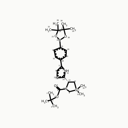 CC(C)(C)OC(=O)N1C[Si](C)(C)C[C@H]1c1ncc(-c2ccc(B3OC(C)(C)C(C)(C)O3)cc2)[nH]1